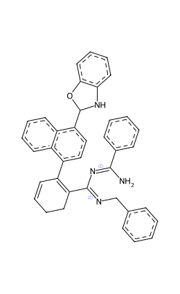 N/C(=N\C(=N/Cc1ccccc1)C1=C(c2ccc(C3Nc4ccccc4O3)c3ccccc23)C=CCC1)c1ccccc1